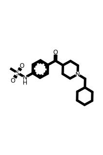 CS(=O)(=O)Nc1ccc(C(=O)C2CCN(CC3CCCCC3)CC2)cc1